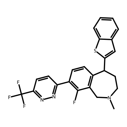 CN1CCC(c2cc3ccccc3s2)c2ccc(-c3ccc(C(F)(F)F)nn3)c(F)c2C1